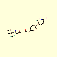 Nc1ccc(-c2ccc(CC(=O)Nc3cc(C4(C(F)(F)F)CCC4)no3)cc2)c(F)n1